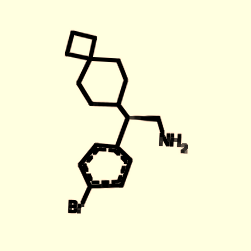 NC[C@@H](c1ccc(Br)cc1)C1CCC2(CCC2)CC1